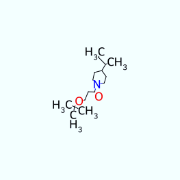 CCC(C)C1CCN(C(=O)CCOC(C)(C)C)CC1